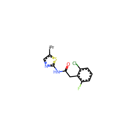 CC(C)c1cnc(NC(=O)Cc2c(F)cccc2Cl)s1